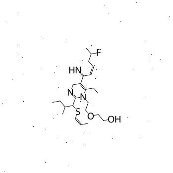 C/C=C\SC(C1=NCC(C(=N)/C=C\CC(C)F)=C(CC)N1CCOCCO)C(C)CC